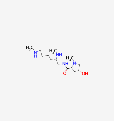 CNCCCC[C@@H](CNC(=O)[C@@H]1C[C@@H](O)CN1C)NC